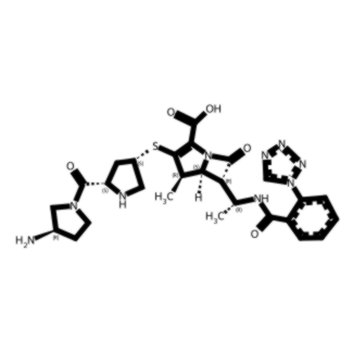 C[C@@H](NC(=O)c1ccccc1-n1cnnn1)[C@H]1C(=O)N2C(C(=O)O)=C(S[C@@H]3CN[C@H](C(=O)N4CC[C@@H](N)C4)C3)[C@H](C)[C@H]12